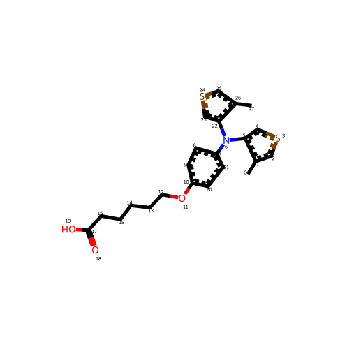 Cc1cscc1N(c1ccc(OCCCCCC(=O)O)cc1)c1cscc1C